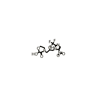 O=C1C(O)OCCN1CC(O)Cn1c([N+](=O)[O-])cnc1C(F)(F)F